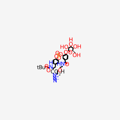 CC(C)(C)OC(=O)NC(Cc1ccc(OS(=O)(=O)Oc2cc(C(=O)NCCOCCN=[N+]=[N-])ccc2O[C@@H]2O[C@H](CO)[C@H](O)[C@H](O)[C@H]2O)cc1)C(=O)O